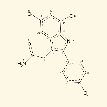 NC(=O)Cn1c(-c2ccc(Cl)cc2)nc2c(Cl)nc(Cl)cc21